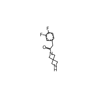 O=C(Cc1ccc(F)c(F)c1)N1CC2(CNC2)C1